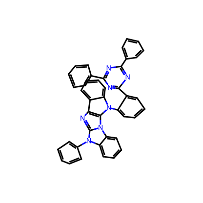 c1ccc(-c2nc(-c3ccccc3)nc(-c3ccccc3-n3c4ccccc4c4nc5n(-c6ccccc6)c6ccccc6n5c43)n2)cc1